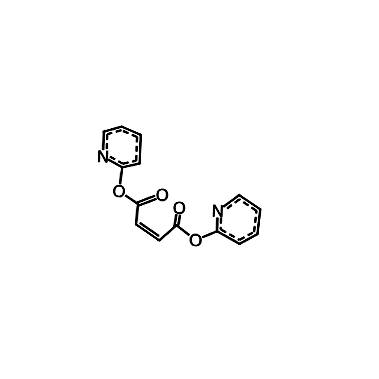 O=C(/C=C\C(=O)Oc1ccccn1)Oc1ccccn1